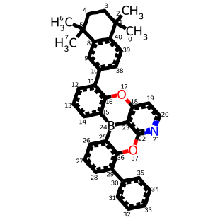 CC1(C)CCC(C)(C)c2cc(-c3cccc4c3Oc3ccnc5c3B4c3cccc(-c4ccccc4)c3O5)ccc21